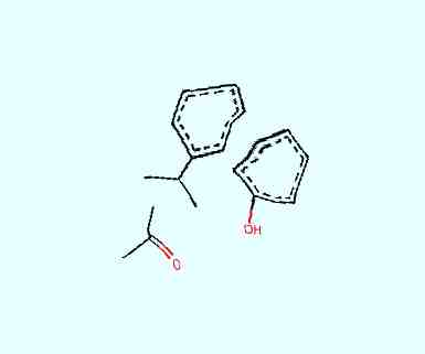 CC(C)=O.CC(C)c1ccccc1.Oc1ccccc1